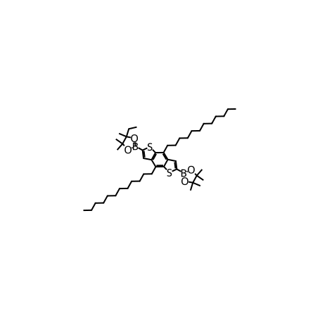 CCCCCCCCCCCCc1c2cc(B3OC(C)(C)C(C)(CC)O3)sc2c(CCCCCCCCCCCC)c2cc(B3OC(C)(C)C(C)(C)O3)sc12